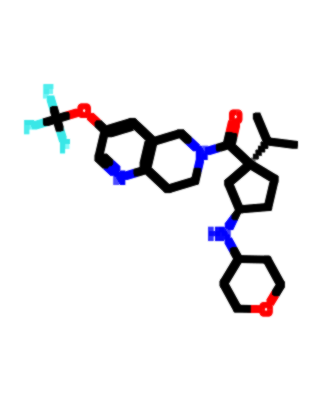 CC(C)[C@]1(C(=O)N2CCc3ncc(OC(F)(F)F)cc3C2)CC[C@@H](NC2CCOCC2)C1